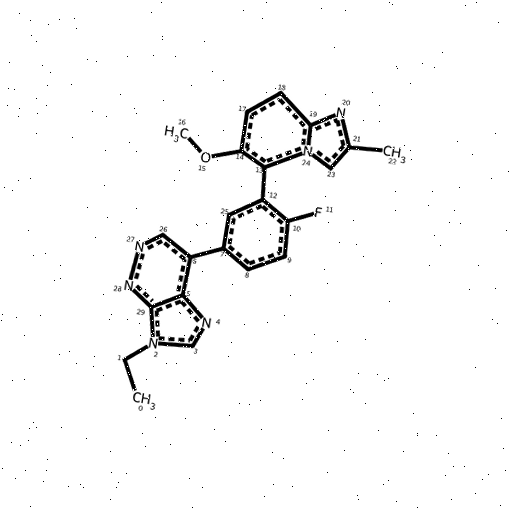 CCn1cnc2c(-c3ccc(F)c(-c4c(OC)ccc5nc(C)cn45)c3)cnnc21